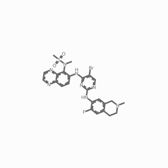 CN1CCc2cc(F)c(Nc3ncc(Br)c(Nc4ccc5nccnc5c4N(C)S(C)(=O)=O)n3)cc2C1